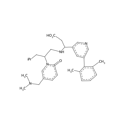 Cc1cccc(C)c1-c1cncc(C(CC(=O)O)NCC(CC(C)C)n2cc(CN(C)C)ccc2=O)c1